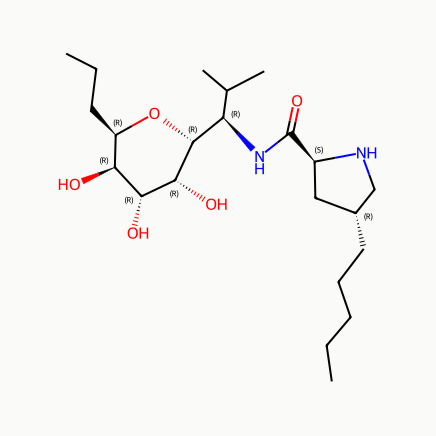 CCCCC[C@H]1CN[C@H](C(=O)N[C@H](C(C)C)[C@H]2O[C@H](CCC)[C@H](O)[C@@H](O)[C@H]2O)C1